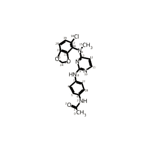 CC(=O)Nc1ccc(Nc2nccc(N(C)c3c(Cl)ccc4c3OCO4)n2)cc1